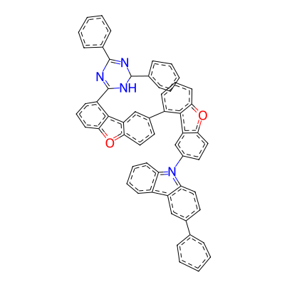 c1ccc(C2=NC(c3ccccc3)NC(c3cccc4oc5ccc(-c6cccc7oc8ccc(-n9c%10ccccc%10c%10cc(-c%11ccccc%11)ccc%109)cc8c67)cc5c34)=N2)cc1